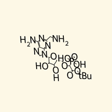 CC(C)(C)OC(=O)C(OC[C@H]1O[C@@H](n2cnc3c(N)nc(CN)nc32)[C@H](O)[C@@H]1O)P(=O)(O)O